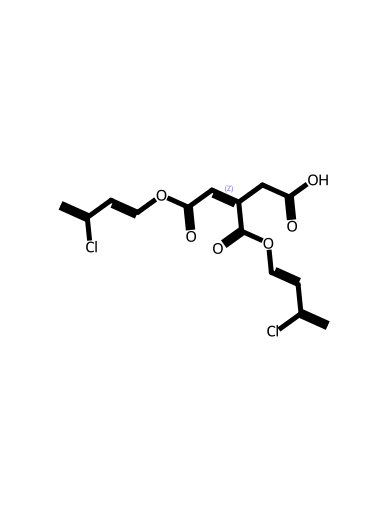 C=C(Cl)C=COC(=O)/C=C(/CC(=O)O)C(=O)OC=CC(=C)Cl